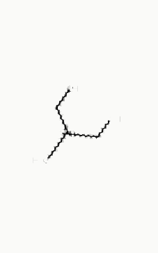 CCCCCCCC/C=C\CCCCCCCCOCC(OCCCCCCCC/C=C\CCCCCCCC)C(C)CCCCCCCCCCCC